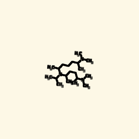 CC(CCCC(C)N(C(C)C)C(C)CCC(C)N(C)C)N(C)C